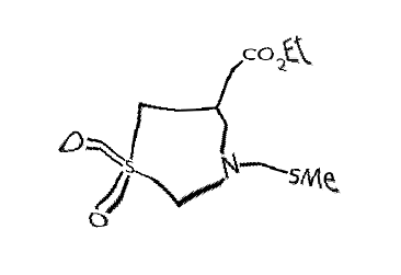 CCOC(=O)C1CS(=O)(=O)CN1SC